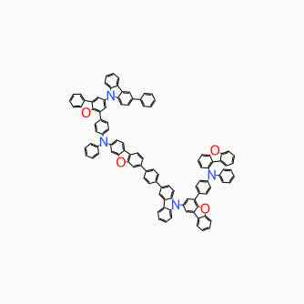 c1ccc(-c2ccc3c(c2)c2ccccc2n3-c2cc(-c3ccc(N(c4ccccc4)c4ccc5c(c4)oc4cc(-c6ccc(-c7ccc8c(c7)c7ccccc7n8-c7cc(-c8ccc(N(c9ccccc9)c9cccc%10oc%11ccccc%11c9%10)cc8)c8oc9ccccc9c8c7)cc6)ccc45)cc3)c3oc4ccccc4c3c2)cc1